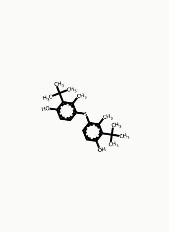 Cc1c(Sc2ccc(O)c(C(C)(C)C)c2C)ccc(O)c1C(C)(C)C